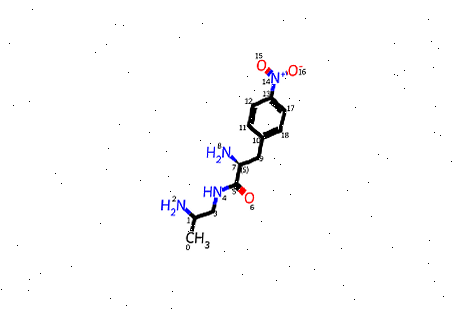 CC(N)CNC(=O)[C@@H](N)Cc1ccc([N+](=O)[O-])cc1